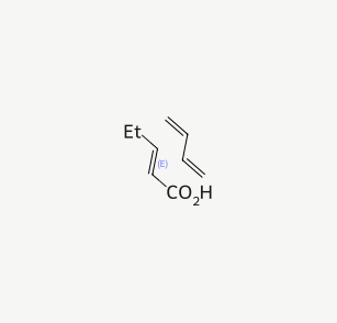 C=CC=C.CC/C=C/C(=O)O